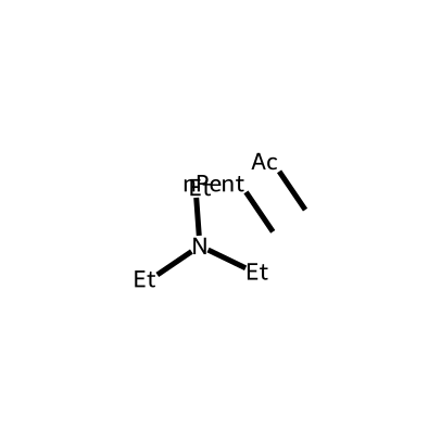 CC(C)=O.CCCCCC.CCN(CC)CC